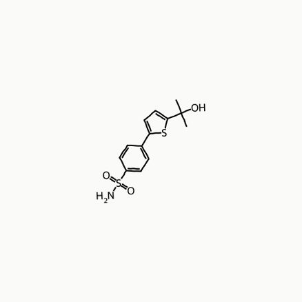 CC(C)(O)c1ccc(-c2ccc(S(N)(=O)=O)cc2)s1